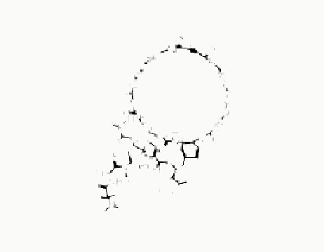 CC[C@H](C)[C@H](NC(=O)C(C)(C)N(C)C)C(=O)N(C)[C@H](C[C@@H](OC(=O)N(C)C)c1nc(C(=O)N[C@@H](Cc2ccc3c(c2)NC(=O)CCCNC(=O)CCOCCOCCNC(=O)C#CC(=O)NCCOCCOCCC(=O)O3)CC(C)C(=O)O)cs1)C(C)C